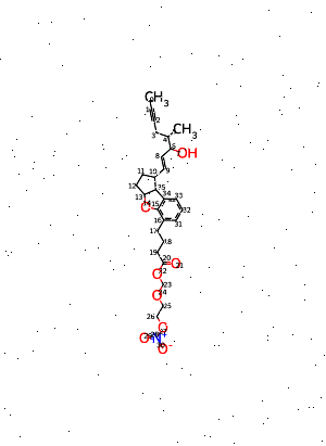 CC#CCC(C)C(O)/C=C/C1CCC2Oc3c(CCCC(=O)OCOCCO[N+](=O)[O-])cccc3C12